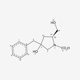 O=C(O)N1CC(O)(Cc2ccccc2)C[C@H]1CO